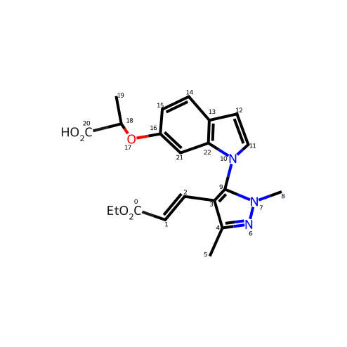 CCOC(=O)C=Cc1c(C)nn(C)c1-n1ccc2ccc(OC(C)C(=O)O)cc21